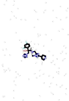 C[C@@H](N1CCn2nc(-c3ccncc3)nc2C1)[C@](O)(Cn1cncn1)c1ccc(F)cc1F